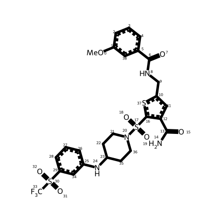 COc1cccc(C(=O)NCc2cc(C(N)=O)c(S(=O)(=O)N3CCC(Nc4cccc(S(=O)(=O)C(F)(F)F)c4)CC3)s2)c1